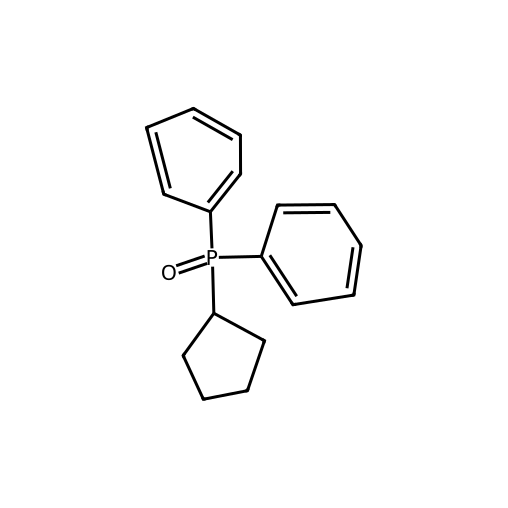 O=P(c1ccccc1)(c1ccccc1)C1CCCC1